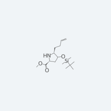 C=CCC[C@@H]1N[C@H](C(=O)OC)CC1O[Si](C)(C)C(C)(C)C